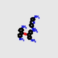 Nc1ccc2c(c1)-c1cc(N)ccc1C2=O.Nc1ccc2c(c1)C(=O)c1cc(N)ccc1-2.Nc1ccc2cc3ccc(N)cc3nc2c1